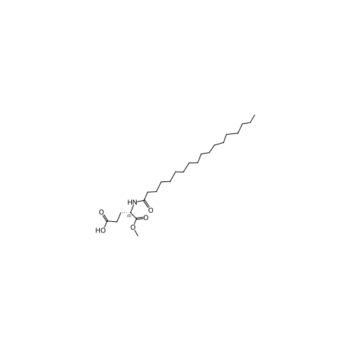 CCCCCCCCCCCCCCCCCC(=O)N[C@@H](CCC(=O)O)C(=O)OC